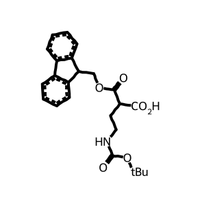 CC(C)(C)OC(=O)NCCC(C(=O)O)C(=O)OCC1c2ccccc2-c2ccccc21